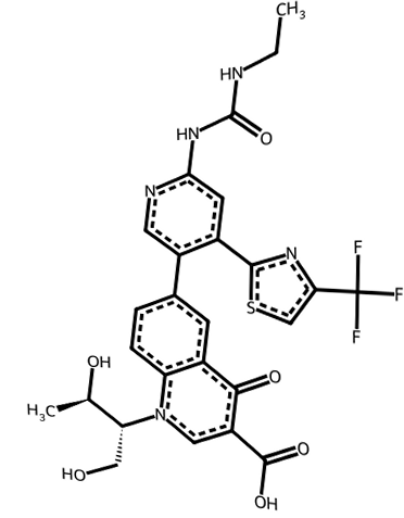 CCNC(=O)Nc1cc(-c2nc(C(F)(F)F)cs2)c(-c2ccc3c(c2)c(=O)c(C(=O)O)cn3[C@H](CO)[C@@H](C)O)cn1